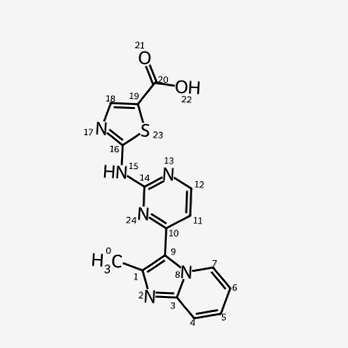 Cc1nc2ccccn2c1-c1ccnc(Nc2ncc(C(=O)O)s2)n1